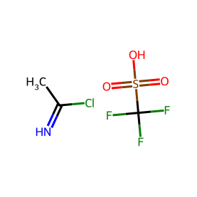 CC(=N)Cl.O=S(=O)(O)C(F)(F)F